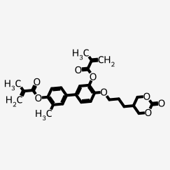 C=C(C)C(=O)Oc1ccc(-c2ccc(OCCCC3COC(=O)OC3)c(OC(=O)C(=C)C)c2)cc1C